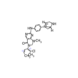 C/C=C\C(=C(/C)Cl)N1CN(C)c2nc(Nc3ccc(N4C[C@@H]5C[C@H]4CN5)cc3)ncc2C1=O